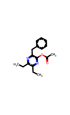 CCc1nc(Cc2ccccc2)c(OC(C)=O)nc1CC